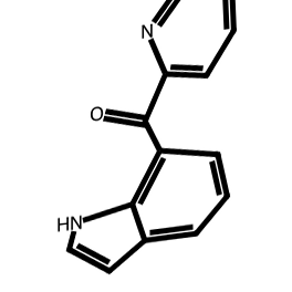 O=C(c1ccccn1)c1cccc2cc[nH]c12